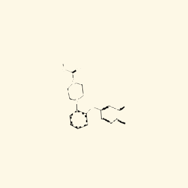 C=C/C=C\C(=C/C=C)Sc1ccccc1N1CCN(C(=O)OF)CC1